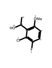 COc1ccc(F)c(Cl)c1C(C)O